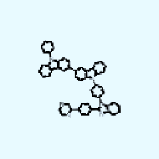 c1ccc(-n2c3ccccc3c3cc(-c4ccc5c(c4)c4ccccc4n5-c4ccc(-n5c(-c6ccc(-c7cnccn7)cc6)nc6ccccc65)cc4)ccc32)cc1